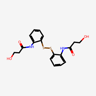 O=C(CCO)Nc1ccccc1SSc1ccccc1NC(=O)CCO